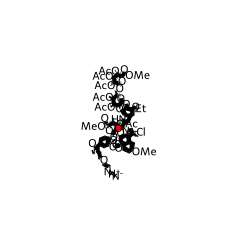 CCOc1cc2cc(C(=O)N3C[C@@H](CCl)c4c3cc(S(=O)(=O)Oc3cc(C(=O)N(C)CCOCCN=[N+]=[N-])ccc3O[C@@H]3O[C@H](C(=O)OC)[C@@H](C)[C@H](OC(C)=O)[C@H]3OC(C)=O)c3ccc(OC)cc43)[nH]c2cc1O[C@@H]1O[C@H](CO[C@@H]2OC(C(=O)OC)[C@@H](OC(C)=O)[C@H](OC(C)=O)[C@H]2OC(C)=O)[C@H](OC(C)=O)[C@H](OC(C)=O)[C@H]1OC(C)=O